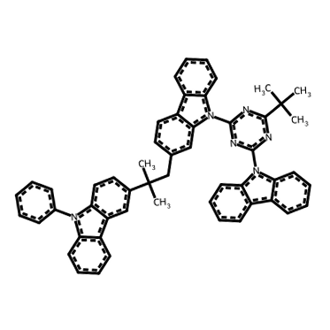 CC(C)(C)c1nc(-n2c3ccccc3c3ccccc32)nc(-n2c3ccccc3c3ccc(CC(C)(C)c4ccc5c(c4)c4ccccc4n5-c4ccccc4)cc32)n1